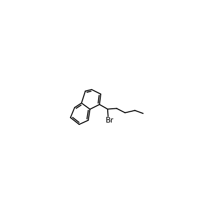 CCCCC(Br)c1cccc2ccccc12